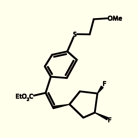 CCOC(=O)/C(=C/[C@H]1C[C@@H](F)[C@@H](F)C1)c1ccc(SCCOC)cc1